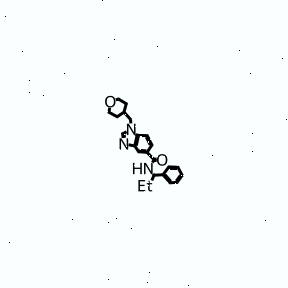 CCC(NC(=O)c1ccc2c(c1)ncn2CC1CCOCC1)c1ccccc1